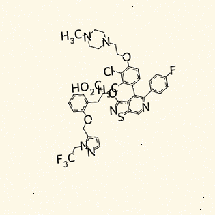 Cc1c(-c2c(-c3ccc(F)cc3)ncc3snc(O[C@H](Cc4ccccc4OCc4ccnn4CC(F)(F)F)C(=O)O)c23)ccc(OCCN2CCN(C)CC2)c1Cl